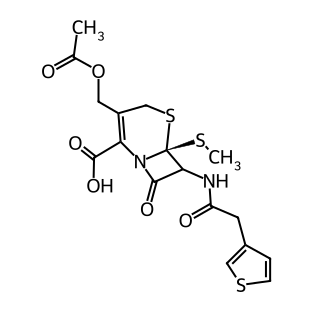 CS[C@]12SCC(COC(C)=O)=C(C(=O)O)N1C(=O)C2NC(=O)Cc1ccsc1